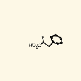 O=C(O)C(F)Cc1cc[c]cc1